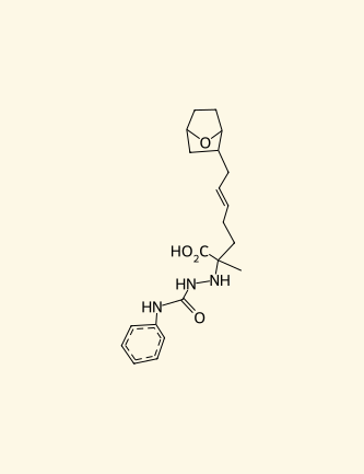 CC(CCC=CCC1CC2CCC1O2)(NNC(=O)Nc1ccccc1)C(=O)O